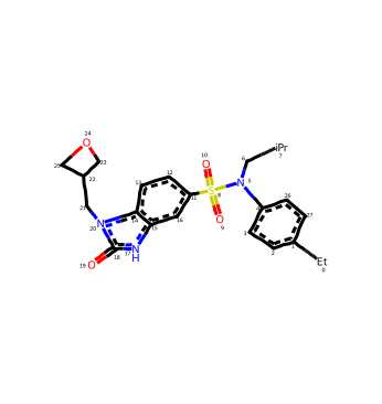 CCc1ccc(N(CC(C)C)S(=O)(=O)c2ccc3c(c2)[nH]c(=O)n3CC2COC2)cc1